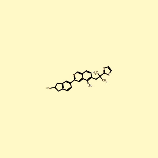 CC(C)(C)c1c(CC(C)(C)c2nccs2)ccc2cnc(-c3ccc4c(c3)CC(C(C)(C)C)C4)cc12